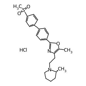 Cc1oc(-c2ccc(-c3ccc(S(C)(=O)=O)cc3)cc2)nc1CCN1CCCC[C@@H]1C.Cl